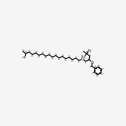 CCC(C)(CC)CC(COCCCCCCCCCCCCCCCCC(C)F)OCc1ccccc1